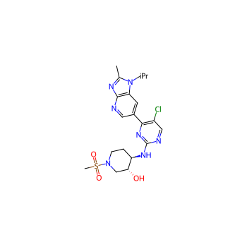 Cc1nc2ncc(-c3nc(N[C@@H]4CCN(S(C)(=O)=O)C[C@H]4O)ncc3Cl)cc2n1C(C)C